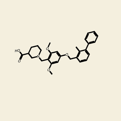 COc1cc(OCc2cccc(-c3ccccc3)c2C)cc(OC)c1CN1CCCC(C(=O)O)C1